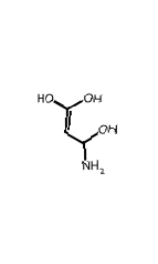 NC(O)C=C(O)O